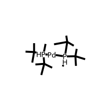 CC(C)(C)[PH](C)([Pd][PH](C)(C(C)(C)C)C(C)(C)C)C(C)(C)C